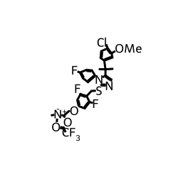 COc1cc(C(C)(C)c2cnc(SCc3c(F)cc(OCC(OC(=O)C(F)(F)F)[N+](C)(C)C)cc3F)n2-c2ccc(F)cc2)ccc1Cl